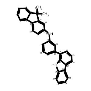 CC1(C)c2ccccc2-c2ccc(Nc3cccc(-c4cccc5c4oc4ccccc45)c3)cc21